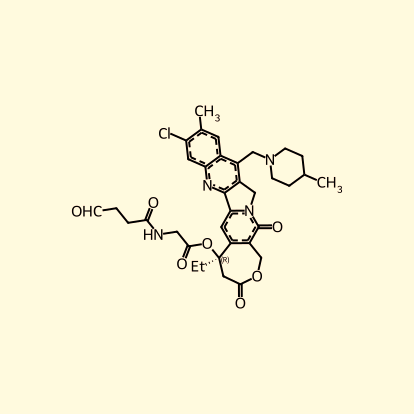 CC[C@@]1(OC(=O)CNC(=O)CCC=O)CC(=O)OCc2c1cc1n(c2=O)Cc2c-1nc1cc(Cl)c(C)cc1c2CN1CCC(C)CC1